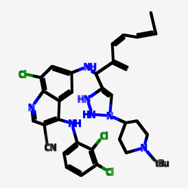 C=C(/C=C\C=C/C)[C@H](Nc1cc(Cl)c2ncc(C#N)c(Nc3cccc(Cl)c3Cl)c2c1)C1=CN(C2CCN(C(C)(C)C)CC2)NN1